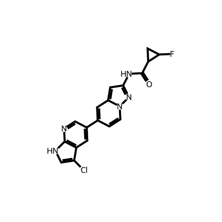 O=C(Nc1cc2cc(-c3cnc4[nH]cc(Cl)c4c3)ccn2n1)C1CC1F